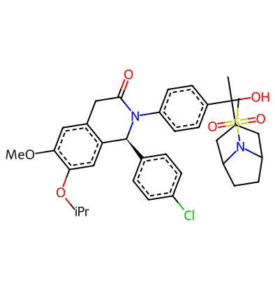 COc1cc2c(cc1OC(C)C)[C@H](c1ccc(Cl)cc1)N(c1ccc(C(C)(O)C3CC4CCC(C3)N4S(C)(=O)=O)cc1)C(=O)C2